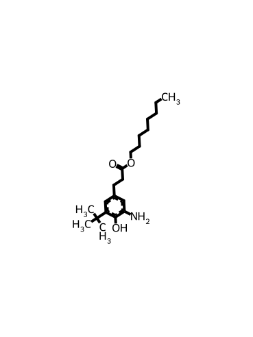 CCCCCCCCOC(=O)CCc1cc(N)c(O)c(C(C)(C)C)c1